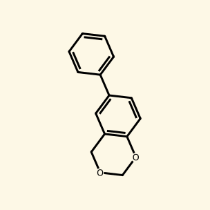 c1ccc(-c2ccc3c(c2)COCO3)cc1